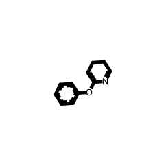 C1=NC(Oc2ccccc2)=CCC1